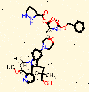 CCn1c(-c2cccnc2[C@H](C)OC)c(CC(C)(C)CO)c2cc(N3CCO[C@@H](C[C@H](NC(=O)OCc4ccccc4)C(=O)OC(=O)C4CCCNN4)C3)ccc21